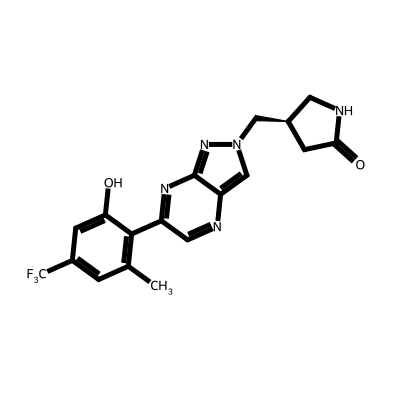 Cc1cc(C(F)(F)F)cc(O)c1-c1cnc2cn(C[C@H]3CNC(=O)C3)nc2n1